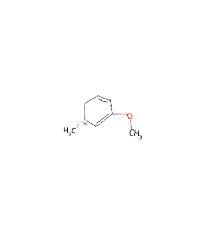 COC1=C[C@H](C)CC=C1